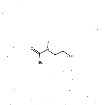 CCC(C)C(=O)N(C)CCO